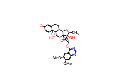 COc1cc2ncnc(OCC(=O)[C@@]3(O)[C@H](C)CC4C5CCC6=CC(=O)C=CC6(C)C5[C@@H](O)CC43C)c2cc1OC